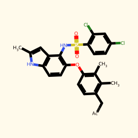 CC(=O)Cc1ccc(Oc2ccc3[nH]c(C)cc3c2NS(=O)(=O)c2ccc(Cl)cc2Cl)c(C)c1C